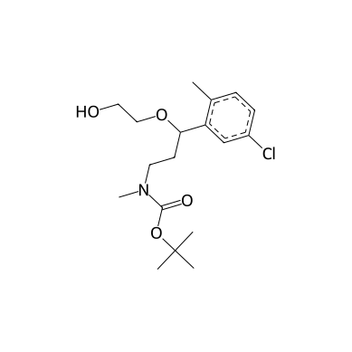 Cc1ccc(Cl)cc1C(CCN(C)C(=O)OC(C)(C)C)OCCO